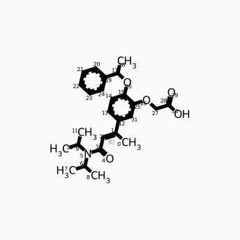 C/C(=C\C(=O)N(C(C)C)C(C)C)c1ccc(OC(C)c2ccccc2)c(OCC(=O)O)c1